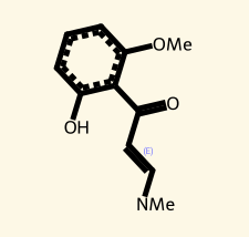 CN/C=C/C(=O)c1c(O)cccc1OC